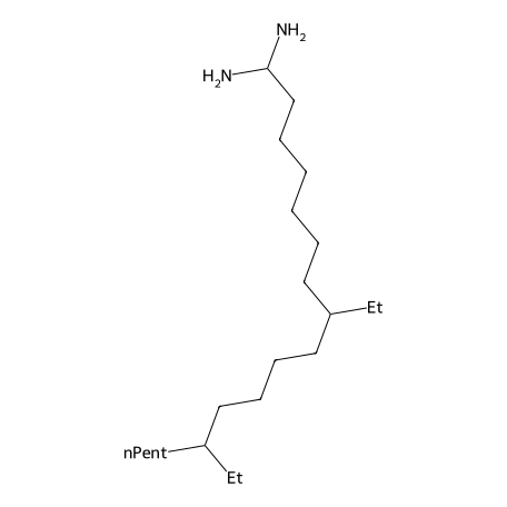 CCCCCC(CC)CCCCC(CC)CCCCCCC(N)N